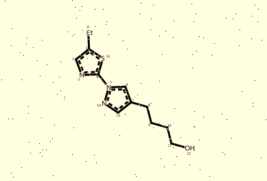 CCc1cnc(-n2cc(CCCCO)cn2)s1